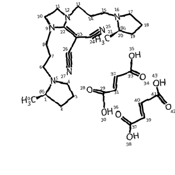 C[C@@H]1CCCN1CCCN1CCN(CCCN2CCC[C@H]2C)C1=C(C#N)C#N.O=C(O)C=CC(=O)O.O=C(O)C=CC(=O)O